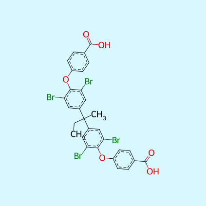 CCC(C)(c1cc(Br)c(Oc2ccc(C(=O)O)cc2)c(Br)c1)c1cc(Br)c(Oc2ccc(C(=O)O)cc2)c(Br)c1